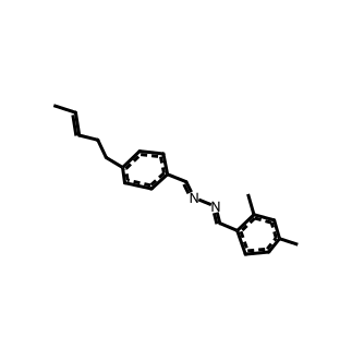 C/C=C/CCc1ccc(C=NN=Cc2ccc(C)cc2C)cc1